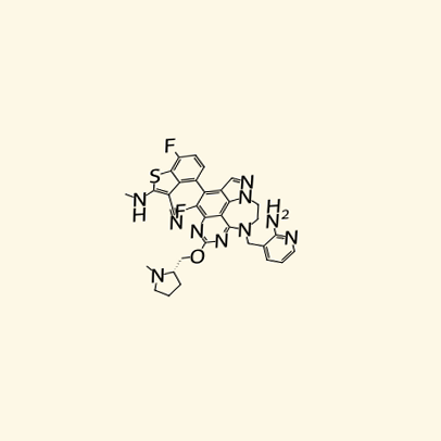 CNc1sc2c(F)ccc(-c3c(F)c4nc(OC[C@@H]5CCCN5C)nc5c4c4c3cnn4CCN5Cc3cccnc3N)c2c1C#N